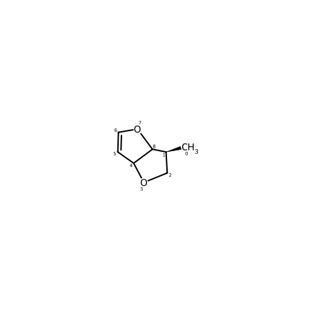 C[C@H]1COC2C=COC21